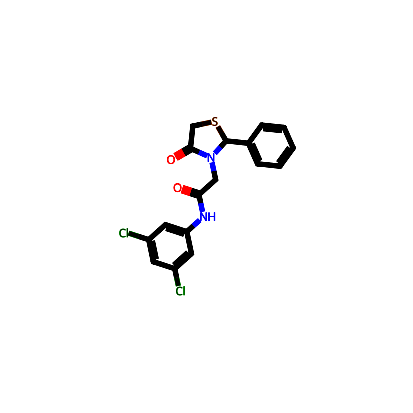 O=C(CN1C(=O)CSC1c1ccccc1)Nc1cc(Cl)cc(Cl)c1